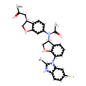 COC(=O)C[C@@H]1COc2cc(N(C(=O)C(F)(F)F)[C@@H]3COc4c3cccc4-n3c(C(C)C)nc4ccc(F)cc43)ccc21